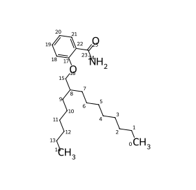 CCCCCCCCC(CCCCCC)COc1ccccc1C(N)=O